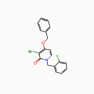 O=c1c(Br)c(OCc2ccccc2)ccn1Cc1ccccc1F